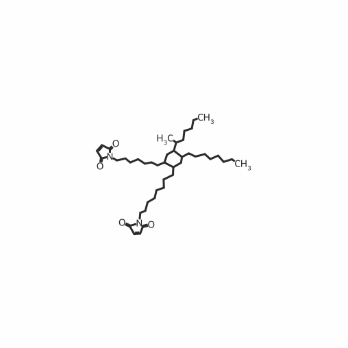 CCCCCCCCC1CC(CCCCCCCCN2C(=O)C=CC2=O)C(CCCCCCCN2C(=O)C=CC2=O)CC1C(C)CCCCC